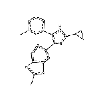 Cc1cccc(-c2[nH]c(C3CC3)nc2-c2ccc3nn(C)nc3c2)n1